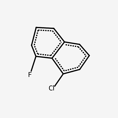 Fc1cccc2cccc(Cl)c12